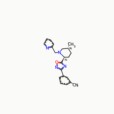 C[C@@H]1CC[C@@H](c2nc(-c3cccc(C#N)c3)no2)N(Cc2ccccn2)C1